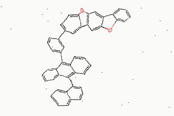 c1cc(-c2ccc3oc4cc5c(cc4c3c2)oc2ccccc25)cc(-c2c3ccccc3c(-c3cccc4ccccc34)c3ccccc23)c1